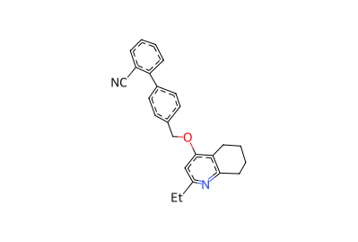 CCc1cc(OCc2ccc(-c3ccccc3C#N)cc2)c2c(n1)CCCC2